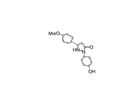 COc1ccc(-c2cc(=O)n(-c3ccc(O)cc3)[nH]2)cc1